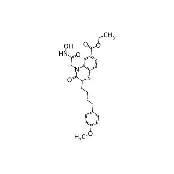 CCOC(=O)c1ccc2c(c1)N(CC(=O)NO)C(=O)C(CCCCc1ccc(OC)cc1)S2